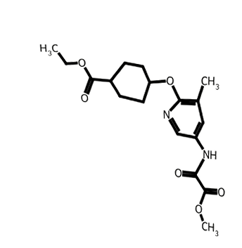 CCOC(=O)C1CCC(Oc2ncc(NC(=O)C(=O)OC)cc2C)CC1